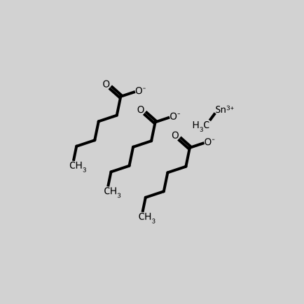 CCCCCC(=O)[O-].CCCCCC(=O)[O-].CCCCCC(=O)[O-].[CH3][Sn+3]